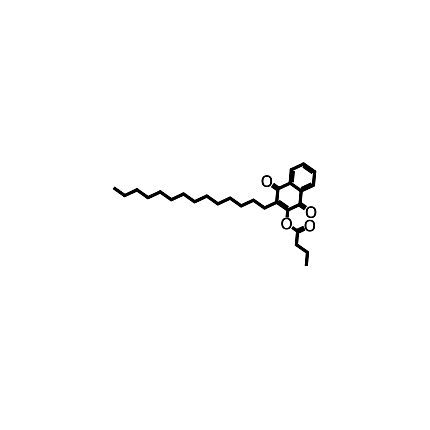 CCCCCCCCCCCCCCC1=C(OC(=O)CCC)C(=O)c2ccccc2C1=O